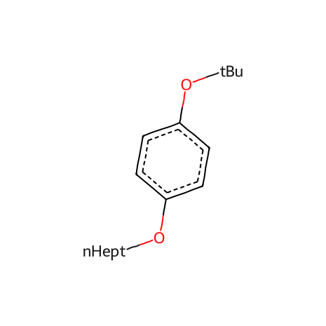 CCCCCCCOc1ccc(OC(C)(C)C)cc1